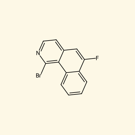 Fc1cc2ccnc(Br)c2c2ccccc12